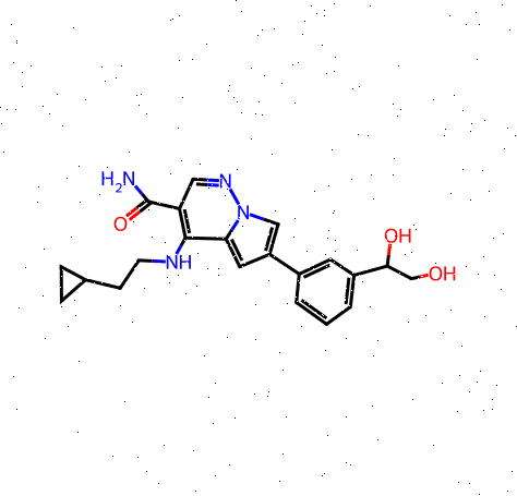 NC(=O)c1cnn2cc(-c3cccc(C(O)CO)c3)cc2c1NCCC1CC1